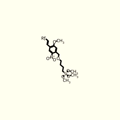 COc1cc(COCCCC[Si](OC)(OC)OC)c([N+](=O)[O-])cc1/C=[CH]/[Rf]